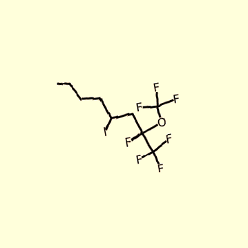 CCCCC(I)CC(F)(OC(F)(F)F)C(F)(F)F